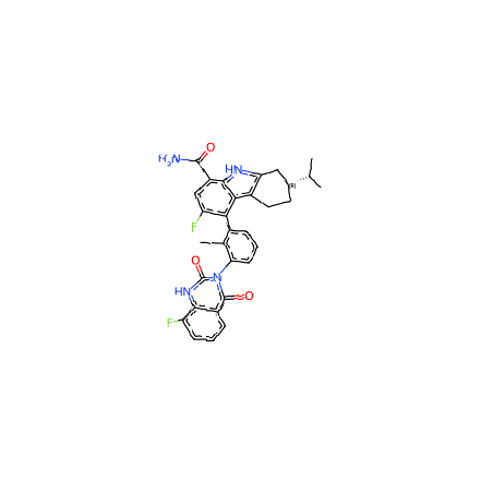 Cc1c(-c2c(F)cc(C(N)=O)c3[nH]c4c(c23)CC[C@@H](C(C)C)C4)cccc1-n1c(=O)[nH]c2c(F)cccc2c1=O